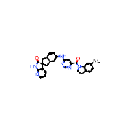 O=Nc1ccc2c(c1)N(C(=O)c1cc(NC3=CC4CC5(CC4C=C3)C(=O)Nc3ncccc35)ncn1)CC2